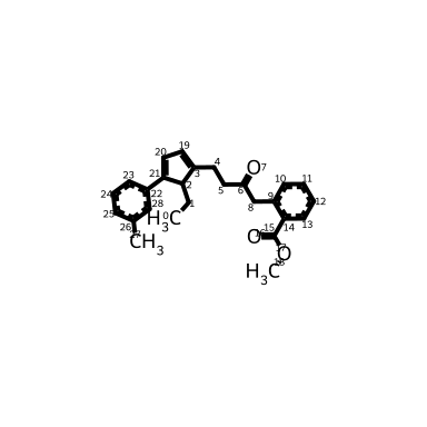 CCC1C(CCC(=O)Cc2ccccc2C(=O)OC)=CC=C1c1cccc(C)c1